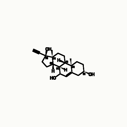 C#C[C@@]1(O)CC[C@H]2[C@@H]3C(O)C=C4C[C@@H](O)CC[C@]4(C)[C@H]3CC[C@@]21C